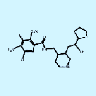 COc1c(C(=O)NCC2CCNCC2CC(O)C2CCCO2)cc(Cl)c(N)c1C